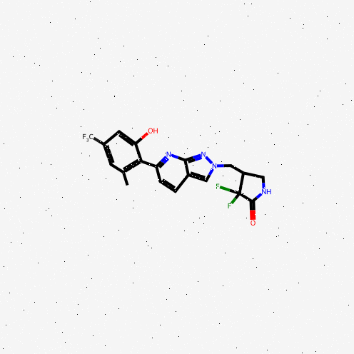 Cc1cc(C(F)(F)F)cc(O)c1-c1ccc2cn(CC3CNC(=O)C3(F)F)nc2n1